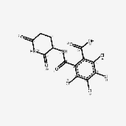 O=C1CCC(NC(=O)c2c(Cl)c(Cl)c(Cl)c(Cl)c2C(=O)O)C(=O)N1